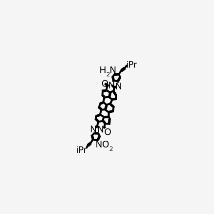 CC(C)C#Cc1cc2nc3c4ccc5c6ccc7c8ccc9c(=O)n%10c%11cc([N+](=O)[O-])c(C#CC(C)C)cc%11nc%10c%10ccc(c%11ccc(c%12ccc(c(=O)n3c2cc1N)c4c5%12)c6c7%11)c8c9%10